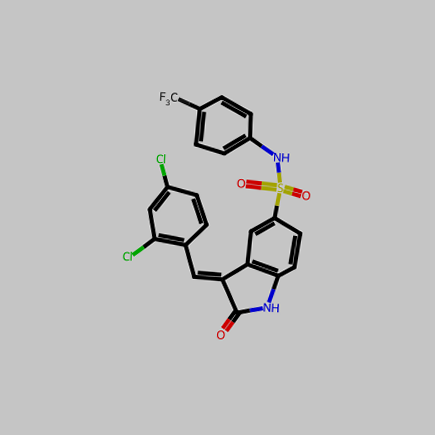 O=C1Nc2ccc(S(=O)(=O)Nc3ccc(C(F)(F)F)cc3)cc2C1=Cc1ccc(Cl)cc1Cl